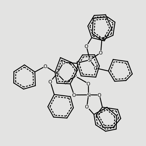 c1ccc(O[Si](Oc2ccccc2)(Oc2ccccc2)OP(O[Si](Oc2ccccc2)(Oc2ccccc2)Oc2ccccc2)O[Si](Oc2ccccc2)(Oc2ccccc2)Oc2ccccc2)cc1